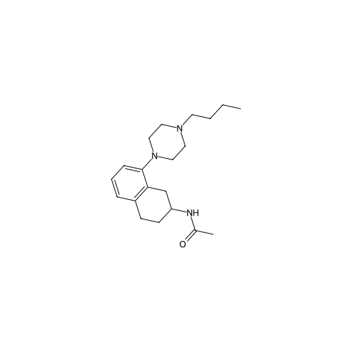 CCCCN1CCN(c2cccc3c2CC(NC(C)=O)CC3)CC1